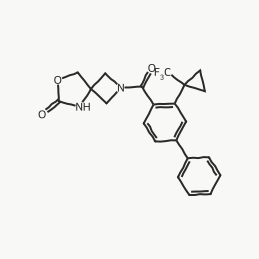 O=C1NC2(CO1)CN(C(=O)c1ccc(-c3ccccc3)cc1C1(C(F)(F)F)CC1)C2